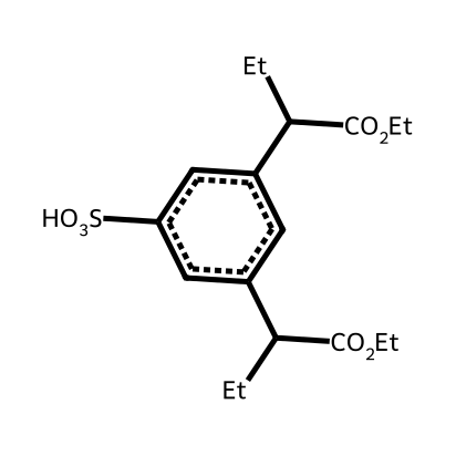 CCOC(=O)C(CC)c1cc(C(CC)C(=O)OCC)cc(S(=O)(=O)O)c1